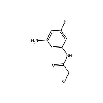 Nc1cc(F)cc(NC(=O)CBr)c1